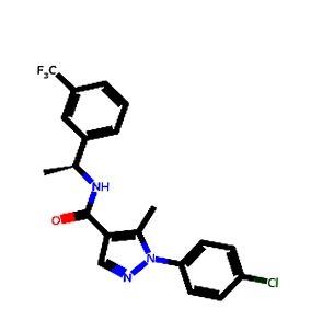 Cc1c(C(=O)N[C@@H](C)c2cccc(C(F)(F)F)c2)cnn1-c1ccc(Cl)cc1